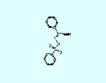 N#CC(=NOS(=O)(=O)c1ccccc1)c1ccccc1